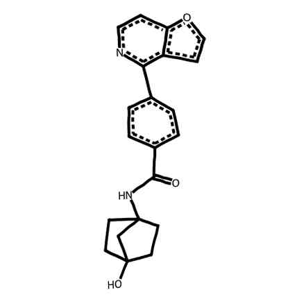 O=C(NC12CCC(O)(CC1)C2)c1ccc(-c2nccc3occc23)cc1